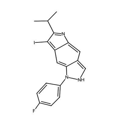 CC(C)c1nc2cc3c[nH]n(-c4ccc(F)cc4)c3cc2c1I